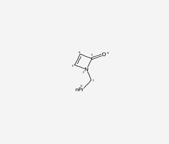 CCCCN1C=CC1=O